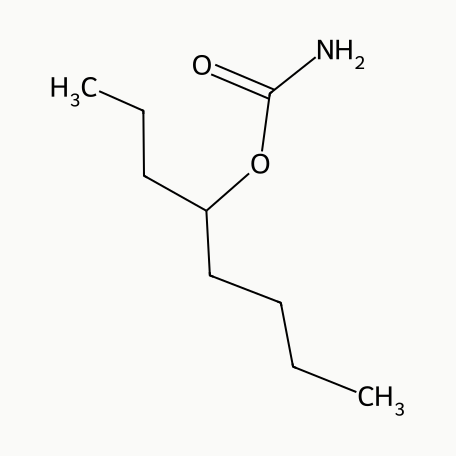 CCCCC(CCC)OC(N)=O